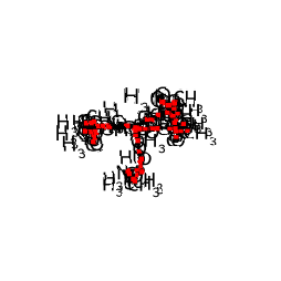 CC(=O)N[C@H]1[C@H](OCCOCCNCC(=O)CCOCC(COCCC(=O)NCCOCCO[C@@H]2O[C@H](COC(C)=O)[C@H](OC(C)=O)[C@H](OC(C)=O)[C@H]2NC(C)=O)(COCCC(=O)NCCOCCO[C@@H]2O[C@H](COC(C)=O)[C@H](OC(C)=O)[C@H](OC(C)=O)[C@H]2NC(C)=O)NC(=O)CCOCCOCCNC(=O)CCC2CCC(OP(OCCC#N)N(C(C)C)C(C)C)CC2)O[C@H](COC(C)=O)[C@H](OC(C)=O)[C@@H]1OC(C)=O